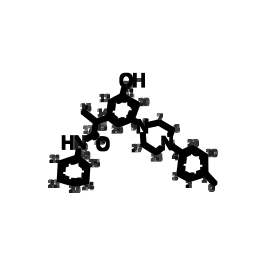 Cc1ccc(N2CCN(c3cc(O)cc(C(C)C(=O)Nc4ccccc4)c3)CC2)cc1